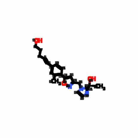 Cc1cc(C#CCCCO)ccc1-c1cc(Cn2ccnc2[C@H](C)O)no1